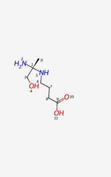 C[C@](N)(CO)NCCCC(=O)O